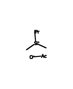 CC(=O)[O-].CC(C)[Si+](C)C